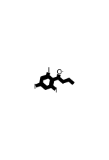 CCCC([O])c1c(I)cc(I)cc1I